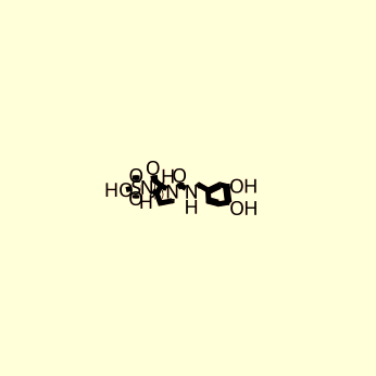 O=C(NCc1ccc(O)c(O)c1)N1CC[C@@H]2[C@H]1C(=O)N2S(=O)(=O)O